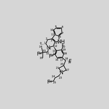 C[C@@H]1Cc2c([nH]c3ccccc23)[C@@H](c2c(F)cc([C@H](F)C3CN(CCCF)C3)cc2F)N1CC(C)(C)F